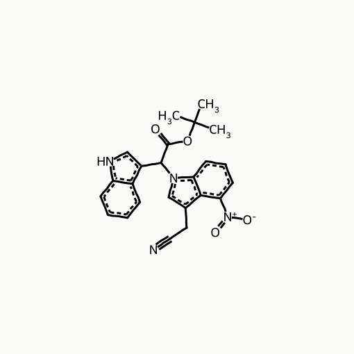 CC(C)(C)OC(=O)C(c1c[nH]c2ccccc12)n1cc(CC#N)c2c([N+](=O)[O-])cccc21